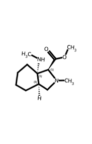 CN[C@@]12CCCC[C@@H]1CN(C)[C@@H]2C(=O)OC